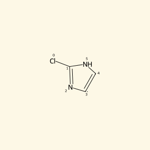 Clc1n[c]c[nH]1